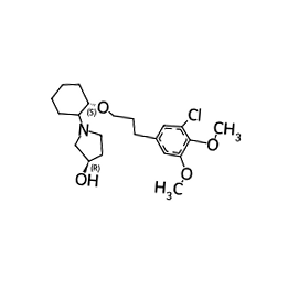 COc1cc(CCCO[C@H]2CCCCC2N2CC[C@@H](O)C2)cc(Cl)c1OC